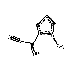 Cn1cccc1C(=N)C#N